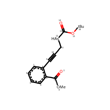 COC(=O)c1ccccc1C#CC[AsH]C(=O)OC(C)(C)C